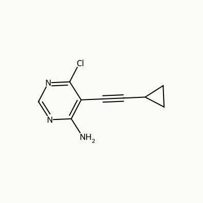 Nc1ncnc(Cl)c1C#CC1CC1